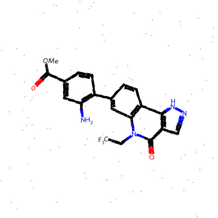 COC(=O)c1ccc(-c2ccc3c4[nH]ncc4c(=O)n(CC(F)(F)F)c3c2)c(N)c1